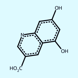 O=C(O)c1cnc2cc(O)cc(O)c2c1